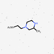 CC(=O)NCCN1CCNC(C)C1